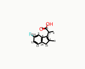 CC1=C(C(C)C(=O)O)c2cc(F)ccc2C1